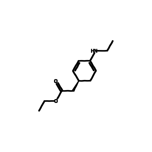 CCNC1=CC[C@@H](CC(=O)OCC)C=C1